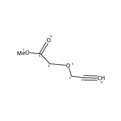 C#CCOCC(=O)OC